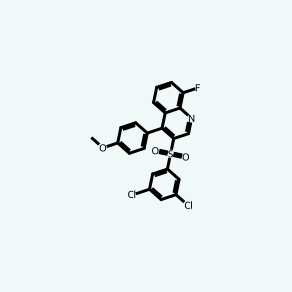 COc1ccc(-c2c(S(=O)(=O)c3cc(Cl)cc(Cl)c3)cnc3c(F)cccc23)cc1